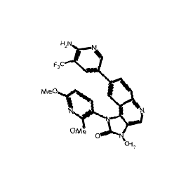 COc1ccc(-n2c(=O)n(C)c3cnc4ccc(-c5cnc(N)c(C(F)(F)F)c5)cc4c32)c(OC)n1